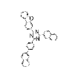 c1ccc2cc(-c3ccc(-c4nc(-c5ccc6ccccc6c5)nc(-c5ccc6c(c5)oc5ccccc56)n4)cc3)ccc2c1